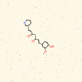 COc1cc(C=CC(=O)CC(=O)C=Cc2cccnc2)ccc1O